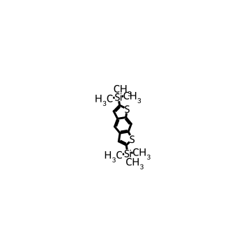 C[Si](C)(C)c1cc2cc3cc([Si](C)(C)C)sc3cc2s1